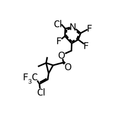 CC1(C)C(/C=C(/Cl)C(F)(F)F)C1C(=O)OCc1c(F)c(F)nc(Cl)c1F